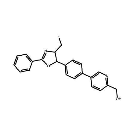 OCc1ccc(-c2ccc(C3OC(c4ccccc4)=NC3CF)cc2)cn1